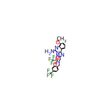 COc1cccc2c1nc(N)n1nc(CN(Cc3ccc(C(F)(F)F)cc3)S(=O)(=O)C(F)(F)F)nc21